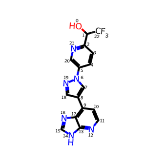 OC(c1ccc(-n2cc(-c3ccnc4[nH]cnc34)cn2)cn1)C(F)(F)F